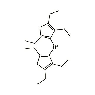 CCC1=C(CC)[C]([Hf][C]2=C(CC)CC(CC)=C2CC)=C(CC)C1